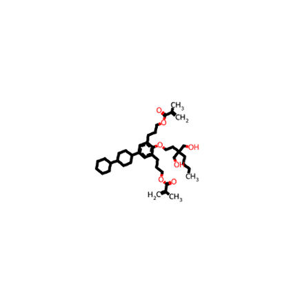 C=C(C)C(=O)OCCCc1cc(C2CCC(C3CCCCC3)CC2)cc(CCCOC(=O)C(=C)C)c1OCCC(CO)(CO)CCCC